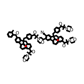 Cc1ccccc1C(=O)c1ccc2c(c1)C(Cc1ccc(C(=O)C(C)(C)N3CCOCC3)cc1)(Cc1ccc(C(=O)C(C)(C)N3CCOC(c4cc5c(cc4C#N)C(Cc4ccc(C(=O)C(C)(C)N6CCOCC6)cc4)(Cc4ccc(C(=O)C(C)(C)N6CCOCC6)cc4)c4ccccc4-5)C3)cc1)c1ccccc1-2